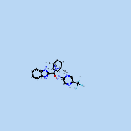 O=C(c1nc2ccccc2[nH]1)N1[C@@H]2CC[C@H]1[C@H](Nc1cnc(C(F)(F)F)cn1)C2